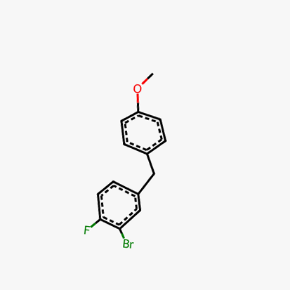 COc1ccc(Cc2ccc(F)c(Br)c2)cc1